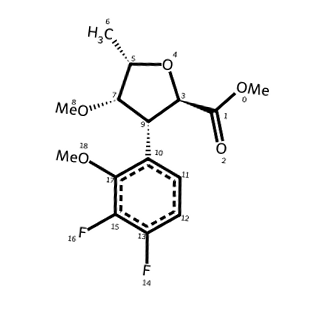 COC(=O)[C@@H]1O[C@@H](C)[C@@H](OC)[C@H]1c1ccc(F)c(F)c1OC